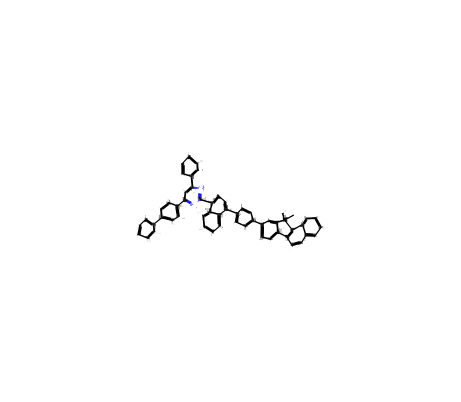 CC1(C)c2cc(-c3ccc(-c4ccc(-c5nc(-c6ccccc6)cc(-c6ccc(-c7ccccc7)cc6)n5)c5ccccc45)cc3)ccc2-c2ccc3ccccc3c21